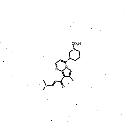 Cc1nn2c(C3CCCN(C(=O)O)C3)ccnc2c1C(=O)C=CN(C)C